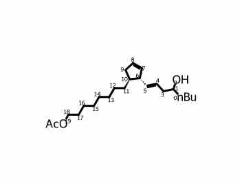 CCCCC(O)C/C=C/[C@H]1C=CC[C@@H]1CCCCCCCCOC(C)=O